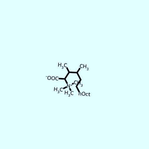 CCCCCCCCCCC(C)C(C)C(C(=O)[O-])[N+](C)(C)C